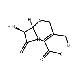 N[C@@H]1C(=O)N2C(C(=O)Cl)=C(CBr)CS[C@H]12